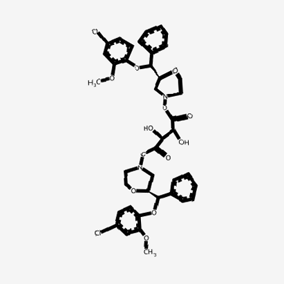 COc1cc(Cl)ccc1OC(c1ccccc1)[C@@H]1CN(OC(=O)C(O)C(O)C(=O)ON2CCO[C@H](C(Oc3ccc(Cl)cc3OC)c3ccccc3)C2)CCO1